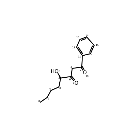 CCCCC(O)C(=O)CC(=O)c1ccccc1